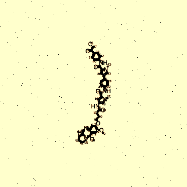 COc1cc2c(cc1OCCCC(=O)Nc1cc(C(=O)Nc3ccc(-c4cc(C(=O)Nc5ccc(C(=O)C=O)cc5)n(C)c4)cc3)n(C)c1)N=C[C@@H]1CCCCN1C2=O